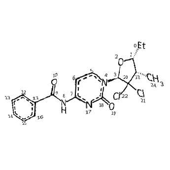 CC[C@H]1O[C@H](n2ccc(NC(=O)c3ccccc3)nc2=O)C(Cl)(Cl)[C@H]1C